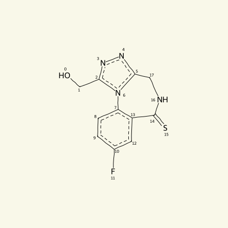 OCc1nnc2n1-c1ccc(F)cc1C(=S)NC2